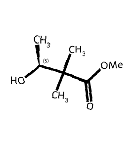 COC(=O)C(C)(C)[C@H](C)O